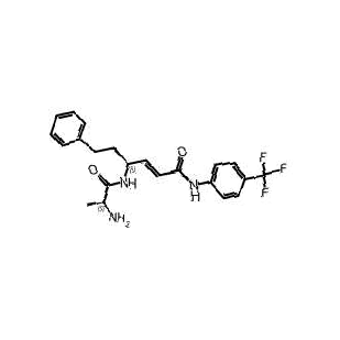 C[C@H](N)C(=O)N[C@H](C=CC(=O)Nc1ccc(C(F)(F)F)cc1)CCc1ccccc1